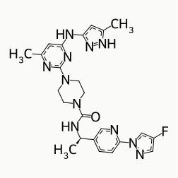 Cc1cc(Nc2cc(C)[nH]n2)nc(N2CCN(C(=O)N[C@H](C)c3ccc(-n4cc(F)cn4)nc3)CC2)n1